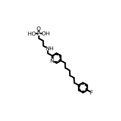 O=P(O)(O)CCCNCc1ccc(CCCCCCc2ccc(F)cc2)cn1